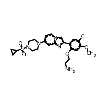 COc1cc(OCCN)c(-c2cn3ccc(N4CCN(S(=O)(=O)C5CC5)CC4)cc3n2)cc1Cl